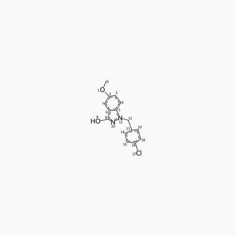 COc1ccc2c(c1)c(O)nn2Cc1ccc(Cl)cc1